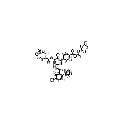 CC(C)OC(=O)OC(C)OC(=O)c1ccc(NC(=O)[C@H](CC(=O)N2CCS(=O)(=O)CC2)NC(=O)/C=C/c2c(-n3cnnn3)ccc(Cl)c2F)cc1